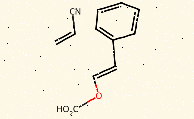 C=CC#N.O=C(O)OC=Cc1ccccc1